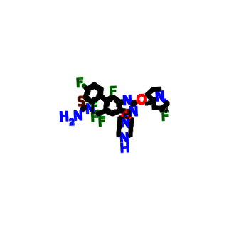 Nc1nc2c(-c3c(C(F)(F)F)cc4c(N5C6CNCC5COC6)nc(OC[C@@]56CCCN5C[C@H](F)C6)nc4c3F)ccc(F)c2s1